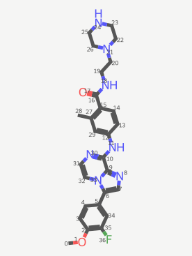 COc1ccc(-c2cnc3c(Nc4ccc(C(=O)NCCN5CCNCC5)c(C)c4)nccn23)cc1F